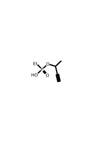 C#CC(C)OP(=O)(O)CC